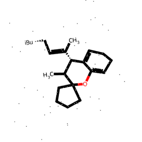 CC[C@@H](C)C/C=C(\C)[C@@H]1C2=CCCC=C2OC2(CCCC2)C1C